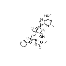 CCOC(=O)[C@H](C)N[P@@](=O)(OC[C@@]1(CCl)O[C@@H](n2cnc3c(NC)nc(C)nc32)[C@@H](F)[C@@H]1O)Oc1ccccc1